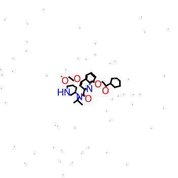 COCCOc1cc(C(=O)N(C(C)C)[C@@H]2CCCNC2)nc2c(OCC(=O)C3CCCCC3)cccc12